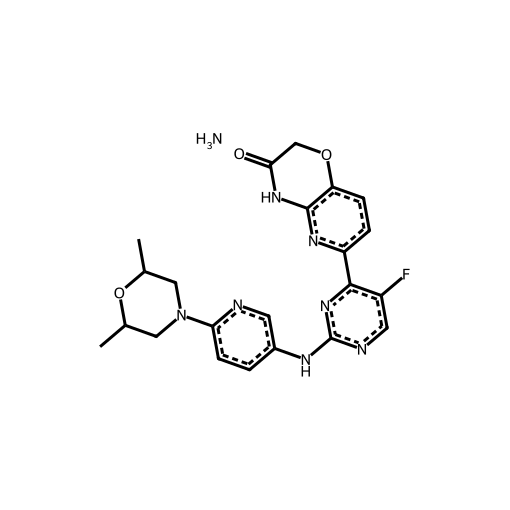 CC1CN(c2ccc(Nc3ncc(F)c(-c4ccc5c(n4)NC(=O)CO5)n3)cn2)CC(C)O1.N